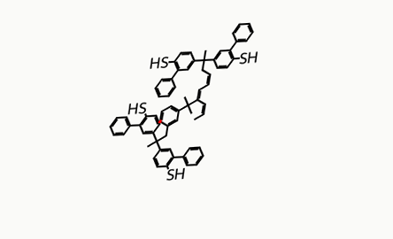 C\C=C/C(=C\C=C/CC(C)(c1ccc(S)c(-c2ccccc2)c1)c1ccc(S)c(-c2ccccc2)c1)C(C)(C)c1cccc(CC(C)(c2ccc(S)c(-c3ccccc3)c2)c2ccc(S)c(-c3ccccc3)c2)c1